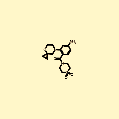 Nc1ccc(C(=O)N2CCS(=O)(=O)CC2)c(N2CCOC3(CC3)C2)c1